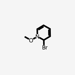 CON1C=CC=CC1Br